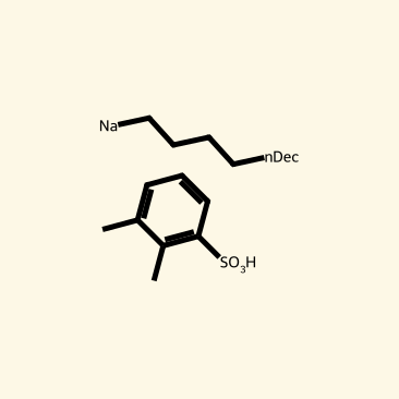 CCCCCCCCCCCCC[CH2][Na].Cc1cccc(S(=O)(=O)O)c1C